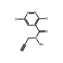 C#CCN(C(=O)c1cc(Cl)nnc1Cl)C(C)(C)C